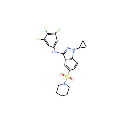 O=S(=O)(c1ccc2c(c1)c(Nc1cc(F)c(F)c(F)c1)nn2C1CC1)N1CCCCC1